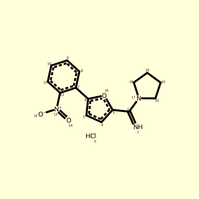 Cl.N=C(c1ccc(-c2ccccc2[N+](=O)[O-])o1)N1CCCC1